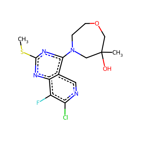 CSc1nc(N2CCOCC(C)(O)C2)c2cnc(Cl)c(F)c2n1